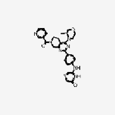 C[C@H]1COCCN1c1nc(-c2ccc(Nc3cncc(=O)[nH]3)cc2)nc2c1CCN(C(=O)c1cccnc1)C2